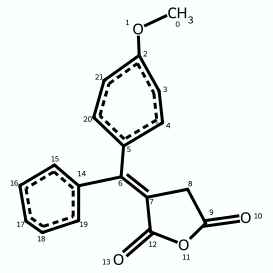 COc1ccc(C(=C2CC(=O)OC2=O)c2ccccc2)cc1